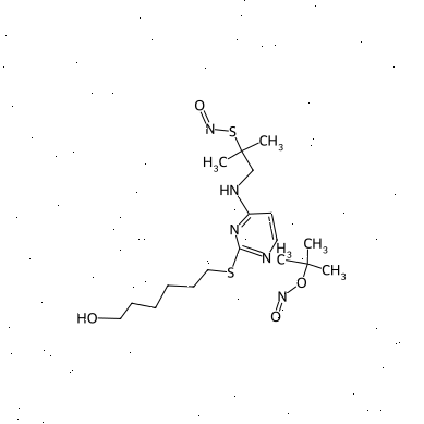 CC(C)(C)ON=O.CC(C)(CNc1ccnc(SCCCCCCO)n1)SN=O